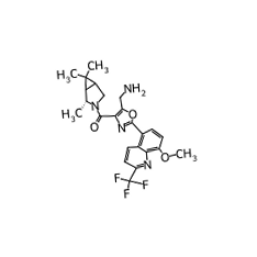 COc1ccc(-c2nc(C(=O)N3CC4C([C@H]3C)C4(C)C)c(CN)o2)c2ccc(C(F)(F)F)nc12